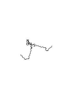 CCCCC/C=C\C/C=C\CCCCCCCCSCC1(CSCCCCCCCC/C=C\C/C=C\CCCCC)CN(C(=O)CN(C)C)C1